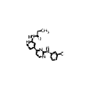 CCC(=O)Nc1cc(-c2ccnc(Nc3cccc(Cl)c3)n2)ccn1